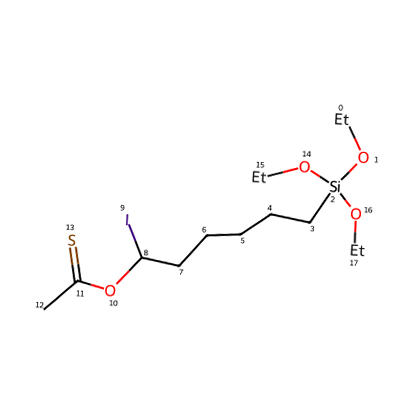 CCO[Si](CCCCCC(I)OC(C)=S)(OCC)OCC